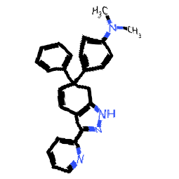 CN(C)c1ccc(C2(c3ccccc3)C=Cc3c(-c4ccccn4)n[nH]c3C2)cc1